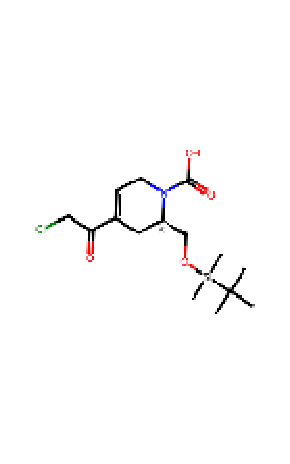 CC(C)(C)[Si](C)(C)OC[C@H]1CC(C(=O)CCl)=CCN1C(=O)O